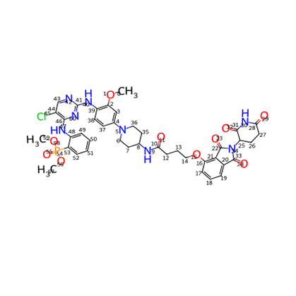 COc1cc(N2CCC(NC(=O)CCCOc3cccc4c3C(=O)N(C3CCC(=O)NC3=O)C4=O)CC2)ccc1Nc1ncc(Cl)c(Nc2ccccc2P(=O)(OC)OC)n1